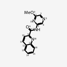 COc1cncc(NC(=O)c2ccc3ccccc3n2)n1